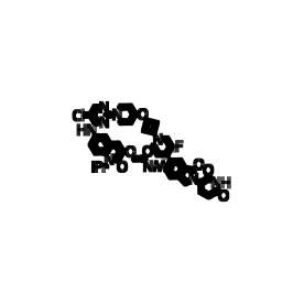 CNC(=O)COc1cc2cc(Nc3nc(N4CCC(O[C@H]5C[C@H](N6CC[C@@H](c7ccc8c(c7)C(=O)N(C7CCC(=O)NC7=O)C8)[C@@H](F)C6)C5)CC4)ncc3Cl)ccc2n(C(C)C)c1=O